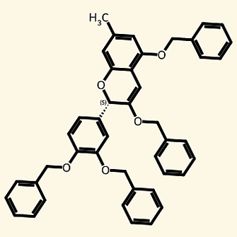 Cc1cc(OCc2ccccc2)c2c(c1)O[C@@H](c1ccc(OCc3ccccc3)c(OCc3ccccc3)c1)C(OCc1ccccc1)=C2